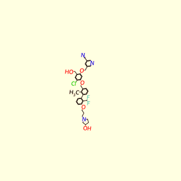 Cc1c(COc2cc(OCc3cncc(C#N)c3)c(CO)cc2Cl)cccc1-c1cccc(OCCCN2CC[C@@H](O)C2)c1C(F)F